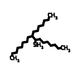 CCCCCCCCC(CCCCCCC)C([SiH3])CCCCCCC